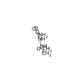 C=C(CC)C(=O)NCCCN/C=C(\N)COC1CCCCO1